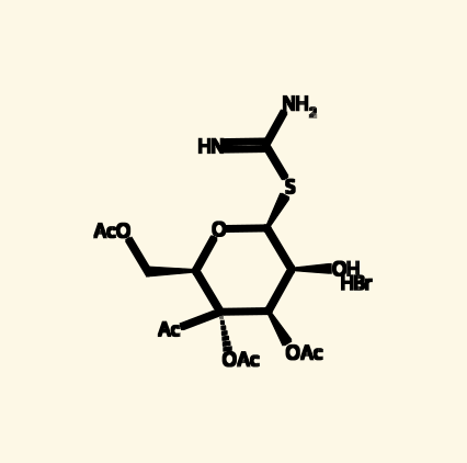 Br.CC(=O)OC[C@H]1O[C@@H](SC(=N)N)[C@@H](O)[C@@H](OC(C)=O)[C@@]1(OC(C)=O)C(C)=O